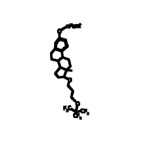 CCCCCOc1ccc2c(c1)CCC1C2CCC2(C)C(OCCCOC(C(F)(F)F)(C(F)(F)F)C(F)(F)F)CCC12